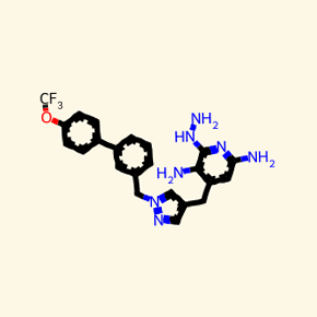 NNc1nc(N)cc(Cc2cnn(Cc3cccc(-c4ccc(OC(F)(F)F)cc4)c3)c2)c1N